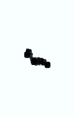 CCOC(=O)/C(C)=C/CCC1(C)CCc2c(C)c(OCOCCOC)c(C)c(C)c2O1